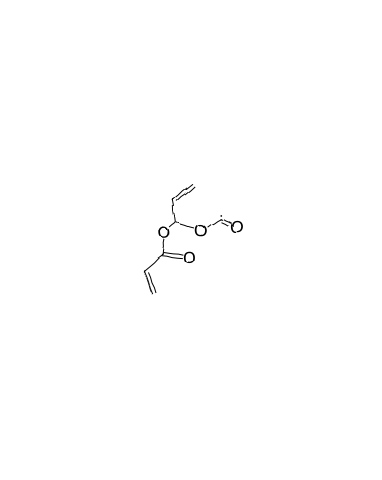 C=CC(=O)OC(C=C)O[C]=O